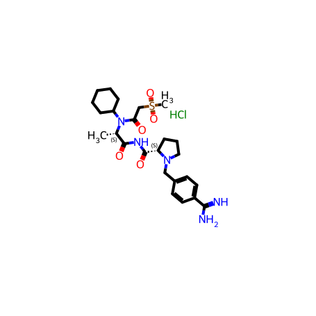 C[C@@H](C(=O)NC(=O)[C@@H]1CCCN1Cc1ccc(C(=N)N)cc1)N(C(=O)CS(C)(=O)=O)C1CCCCC1.Cl